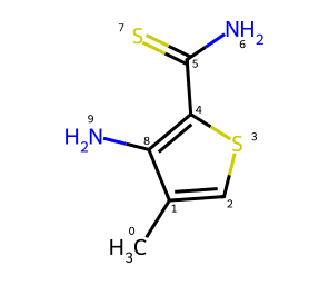 Cc1csc(C(N)=S)c1N